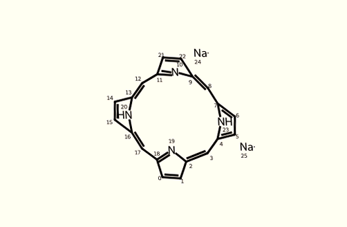 C1=Cc2cc3ccc(cc4nc(cc5ccc(cc1n2)[nH]5)C=C4)[nH]3.[Na].[Na]